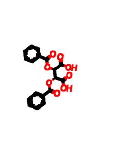 O=C(O[C@@H](C(=O)O)[C@@H](OC(=O)c1ccccc1)C(=O)O)c1cc#ccc1